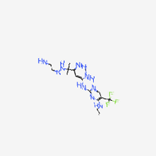 CCNc1nc(N/C(=C/C(=N)C(C)(C)N/N=C\C=N)NC)ncc1C(F)(F)F